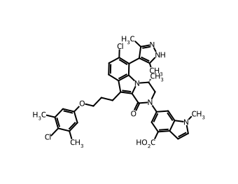 Cc1cc(OCCCc2c3n(c4c(-c5c(C)n[nH]c5C)c(Cl)ccc24)[C@H](C)CN(c2cc(C(=O)O)c4ccn(C)c4c2)C3=O)cc(C)c1Cl